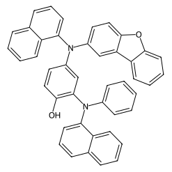 Oc1ccc(N(c2ccc3oc4ccccc4c3c2)c2cccc3ccccc23)cc1N(c1ccccc1)c1cccc2ccccc12